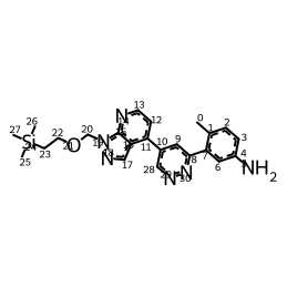 Cc1ccc(N)cc1-c1cc(-c2ccnc3c2cnn3COCC[Si](C)(C)C)cnn1